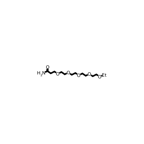 CCOCCOCCOCCOCCOCCC(N)=O